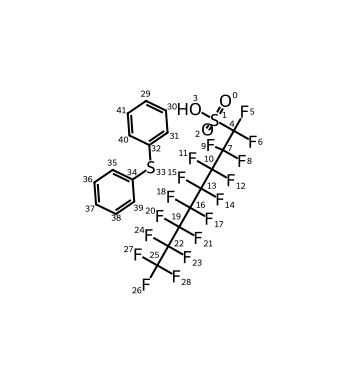 O=S(=O)(O)C(F)(F)C(F)(F)C(F)(F)C(F)(F)C(F)(F)C(F)(F)C(F)(F)C(F)(F)F.c1ccc(Sc2ccccc2)cc1